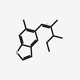 CCC(C)/C(C)=C\c1cc2ccsc2cc1C